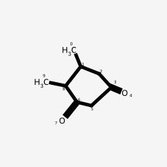 CC1CC(=O)CC(=O)C1C